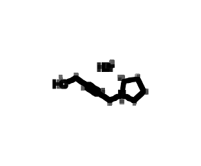 Br.OCC#CCN1CCCC1